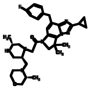 C[C@@H]1CN(CC(=O)N2CC(C)(C)c3c2cc(Cc2ccc(F)cc2)c2nc(C4CC4)nn32)[C@@H](CN2CCOC[C@H]2C)CN1